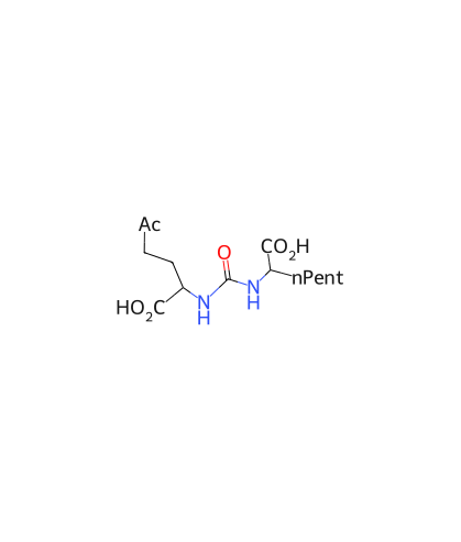 CCCCCC(NC(=O)NC(CCC(C)=O)C(=O)O)C(=O)O